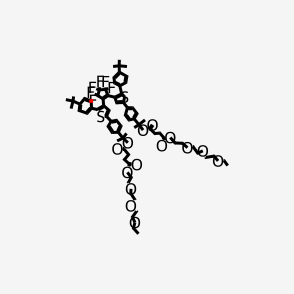 CCOCCOCCOCCOC(=O)CCC(=O)OC(C)(C)c1ccc(-c2cc(C3=C(c4cc(-c5ccc(C(C)(C)OC(=O)CCC(=O)OCCOCCOCCOCC)cc5)sc4-c4ccc(C(C)(C)C)cc4)C(F)(F)C(F)(F)C3(F)F)c(-c3ccc(C(C)(C)C)cc3)s2)cc1